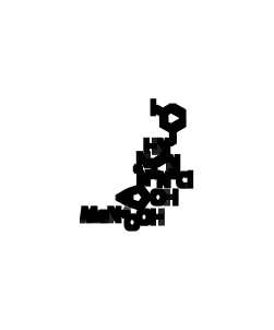 CNC(=O)[C@]12CC1C(n1cnc3c(NCc4cccc(I)c4)nc(Cl)nc31)C(O)C2O